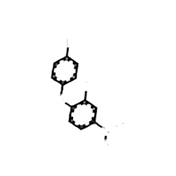 O=[N+]([O-])c1ccc(Oc2ccc(F)cc2)c(F)c1